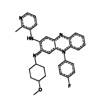 COC1CCC(/N=c2\cc3n(-c4ccc(F)cc4)c4ccccc4nc-3cc2Nc2cccnc2C)CC1